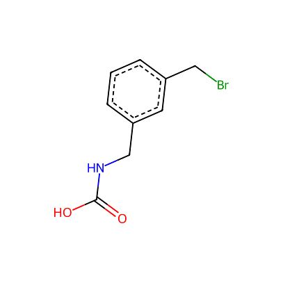 O=C(O)NCc1cccc(CBr)c1